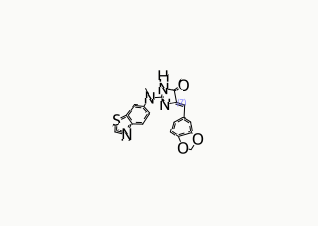 CN(C1=N/C(=C\c2ccc3c(c2)OCO3)C(=O)N1)c1ccc2ncsc2c1